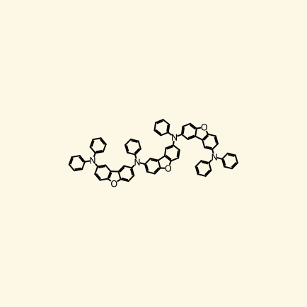 c1ccc(N(c2ccccc2)c2ccc3oc4ccc(N(c5ccccc5)c5ccc6oc7ccc(N(c8ccccc8)c8ccc9oc%10ccc(N(c%11ccccc%11)c%11ccccc%11)cc%10c9c8)cc7c6c5)cc4c3c2)cc1